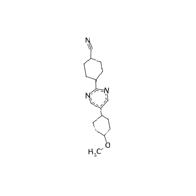 COC1CCC(c2cnc(C3CCC(C#N)CC3)nc2)CC1